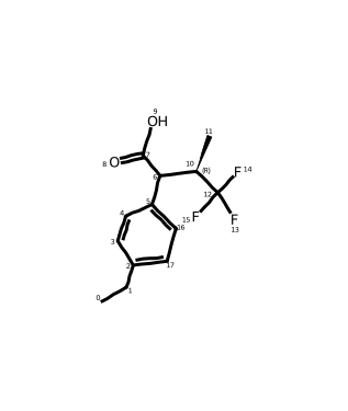 CCc1ccc(C(C(=O)O)[C@@H](C)C(F)(F)F)cc1